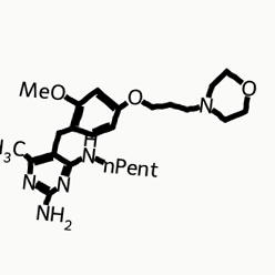 CCCCCNc1nc(N)nc(C)c1Cc1ccc(OCCCN2CCOCC2)cc1OC